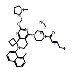 Cc1cccc2cccc(N3CCc4c(N5CCN(C(=O)/C=C/CF)[C@@H](CC#N)C5)nc(OC[C@@H]5CCCN5C)nc4C34CCC4)c12